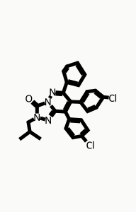 CC(C)Cn1nc2c(-c3ccc(Cl)cc3)c(-c3ccc(Cl)cc3)c(-c3ccccc3)nn2c1=O